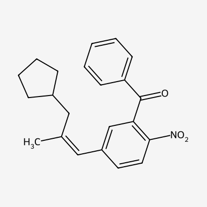 CC(=Cc1ccc([N+](=O)[O-])c(C(=O)c2ccccc2)c1)CC1CCCC1